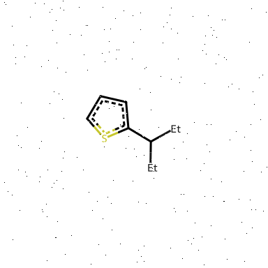 CCC(CC)c1cccs1